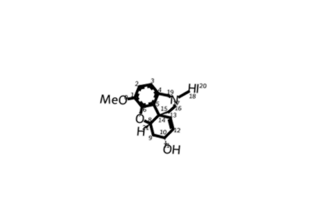 COc1ccc2c3c1O[C@H]1C[C@@H](O)C=C[C@@]31CCN(C)C2.I